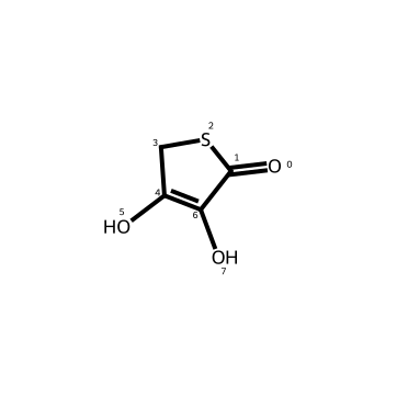 O=C1SCC(O)=C1O